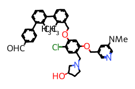 CNc1cncc(COc2cc(OCc3cccc(-c4cccc(-c5ccc(C=O)cc5)c4C)c3C)c(Cl)cc2CN2CC[C@@H](O)C2)c1